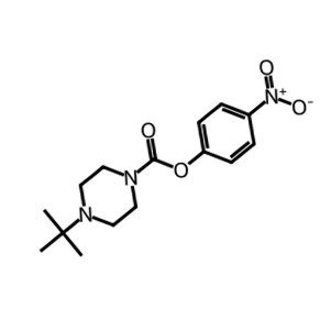 CC(C)(C)N1CCN(C(=O)Oc2ccc([N+](=O)[O-])cc2)CC1